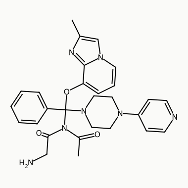 CC(=O)N(C(=O)CN)C(Oc1cccn2cc(C)nc12)(c1ccccc1)N1CCN(c2ccncc2)CC1